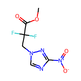 COC(=O)C(F)(F)Cn1cnc([N+](=O)[O-])n1